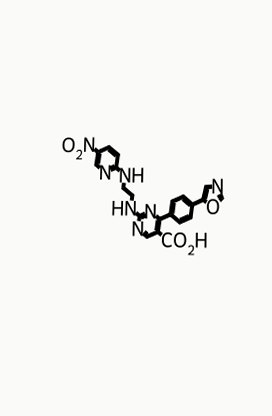 O=C(O)c1cnc(NCCNc2ccc([N+](=O)[O-])cn2)nc1-c1ccc(-c2cnco2)cc1